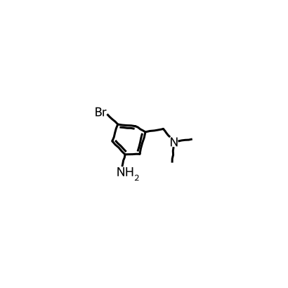 CN(C)Cc1cc(N)cc(Br)c1